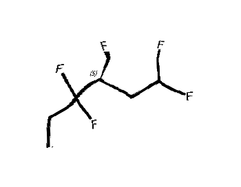 [CH2]CC(F)(F)[C@@H](F)CC(F)F